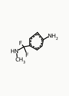 CNC(F)(F)c1ccc(N)cc1